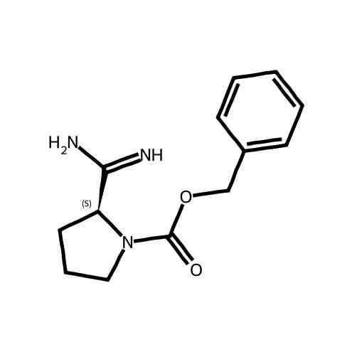 N=C(N)[C@@H]1CCCN1C(=O)OCc1ccccc1